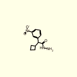 NNC(=O)C(c1cccc([N+](=O)[O-])c1)C1CCC1